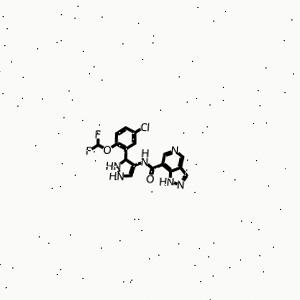 O=C(NC1=CNNC1c1cc(Cl)ccc1OC(F)F)c1cncc2cn[nH]c12